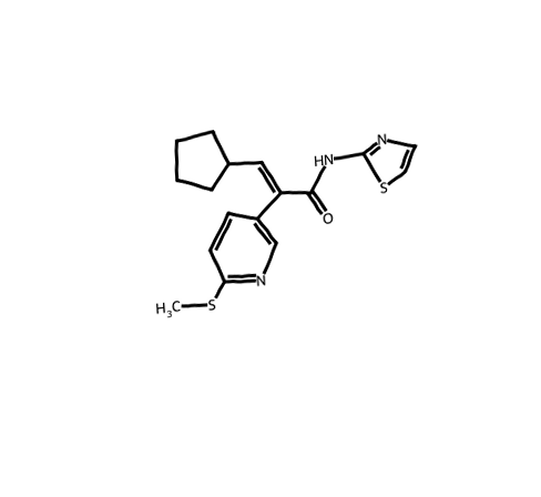 CSc1ccc(/C(=C\C2CCCC2)C(=O)Nc2nccs2)cn1